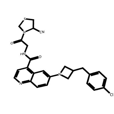 N#CC1CSCN1C(=O)CNC(=O)c1ccnc2ccc(N3CC(Cc4ccc(Cl)cc4)C3)cc12